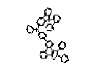 c1ccc(-c2oc3c4ccccc4c4cc(-c5ccc(N(c6ccccc6)c6ccc7c(c6)C6(c8ccccc8-c8ccccc86)c6ccccc6-7)cc5)ccc4c3c2-c2ccccc2)cc1